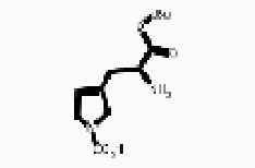 CC(C)(C)OC(=O)C(N)CC1=CCN(C(=O)O)C1